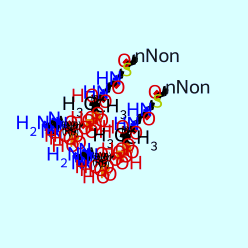 CCCCCCCCCC=CC(=O)SCCNC(=O)CCNC(=O)[C@H](O)C(C)(C)COP(=O)(O)OP(=O)(O)OC[C@H]1O[C@@H](n2cnc3c(N)ncnc32)[C@H](O)[C@@H]1OP(=O)(O)O.CCCCCCCCCC=CC(=O)SCCNC(=O)CCNC(=O)[C@H](O)C(C)(C)COP(=O)(O)OP(=O)(O)OC[C@H]1O[C@@H](n2cnc3c(N)ncnc32)[C@H](O)[C@@H]1OP(=O)(O)O